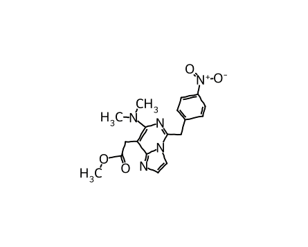 COC(=O)Cc1c(N(C)C)nc(Cc2ccc([N+](=O)[O-])cc2)n2ccnc12